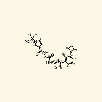 N#CC1(n2ccc(C(=O)NCC(=O)Nc3nc(-c4cccc(N5CCC5)c4F)cs3)c2)CC1